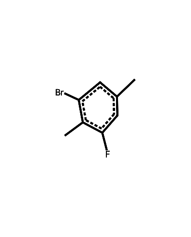 Cc1cc(F)c(C)c(Br)c1